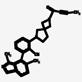 CC#CC(=O)N1CC2(CCN(c3cccc(-c4c(C)ccc5cnn(C)c45)c3C#N)C2)C1